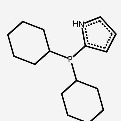 c1c[nH]c(P(C2CCCCC2)C2CCCCC2)c1